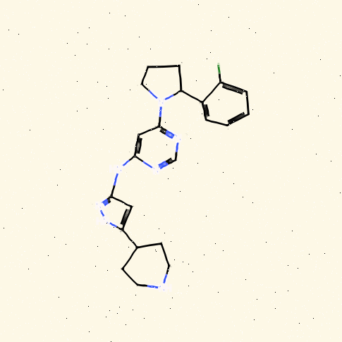 Clc1ccccc1C1CCCN1c1cc(Nc2cc(C3CCNCC3)[nH]n2)ncn1